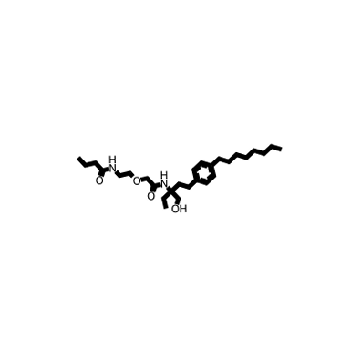 CCCCCCCCc1ccc(CCC(CC)(CO)NC(=O)COCCNC(=O)CCC)cc1